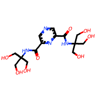 O=C(NC(CO)(CO)CO)c1cncc(C(=O)NC(CO)(CO)CO)n1